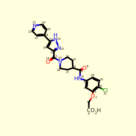 O=C(O)COc1cc(NC(=O)C2CCN(C(=O)c3cc(-c4ccncc4)[nH]n3)CC2)ccc1Cl